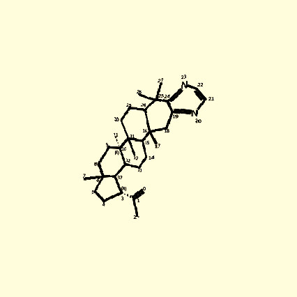 C=C(C)[C@@H]1CCC2(C)CC[C@]3(C)C(CCC4C5(C)Cc6nccnc6C(C)(C)C5CCC43C)C12